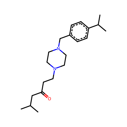 CC(C)CC(=O)CCN1CCN(Cc2ccc(C(C)C)cc2)CC1